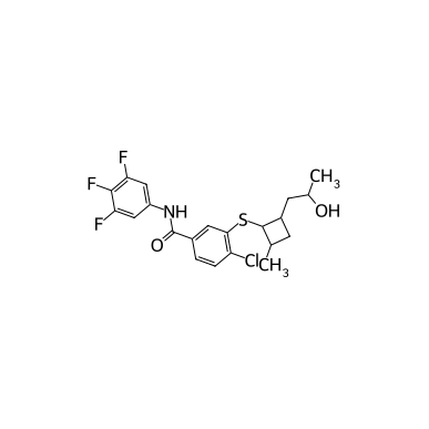 CC(O)CC1CC(C)C1Sc1cc(C(=O)Nc2cc(F)c(F)c(F)c2)ccc1Cl